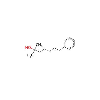 CC(C)(O)CCCCCc1[c]cccc1